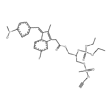 C#COP(C)(=O)OCC(COC(=O)CC1=C(C)/C(=C/c2ccc([S+](C)[O-])cc2)c2ccc(F)cc21)OP(=O)(OCC)OCC